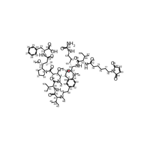 CCC(C)[C@@H]([C@@H](CC(=O)N1CCC[C@H]1[C@H](OC)[C@@H](C)C(=O)N[C@@H](Cc1ccccc1)C(=O)O)OC)N(C)C(=O)[C@@H](NC(=O)[C@H](C(C)C)N(C)CCc1ccc(N(C)C(=O)[C@H](CCCNC(N)=O)NC(=O)[C@@H](NC(=O)CCCCCN2C(=O)C=CC2=O)C(C)C)cc1)C(C)C